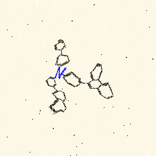 c1ccc(-c2ccc(N(c3ccc(-c4cc5ccccc5c5ccccc45)cc3)c3cccc(-c4ccc5ccccc5c4)c3)cc2)cc1